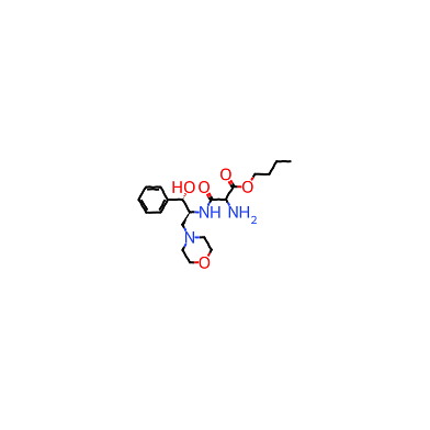 CCCCOC(=O)C(N)C(=O)N[C@@H](CN1CCOCC1)[C@@H](O)c1ccccc1